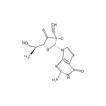 C#CC1(Cl)C(=O)[C@@H]([C@@H](C)O)O[C@H]1n1cnc2c(=O)[nH]c(N)nc21